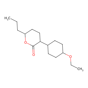 CCCC1CCC(C2CCC(OCC)CC2)C(=O)O1